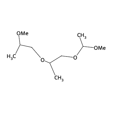 COC(C)COC(C)COC(C)OC